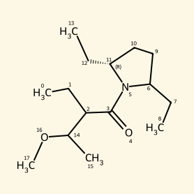 CCC(C(=O)N1C(CC)CC[C@H]1CC)C(C)OC